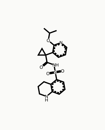 CC(C)Oc1ncccc1C1(C(=O)NS(=O)(=O)c2cccc3c2CCCN3)CC1